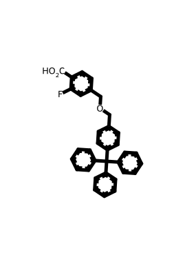 O=C(O)c1ccc(COCc2ccc(C(c3ccccc3)(c3ccccc3)c3ccccc3)cc2)cc1F